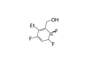 CCC1=C(CO)[C@@H](F)C(F)C=C1F